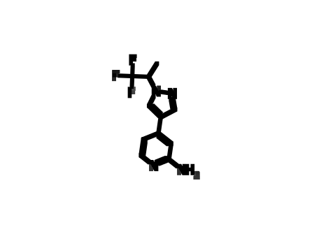 CC(n1cc(-c2ccnc(N)c2)cn1)C(F)(F)F